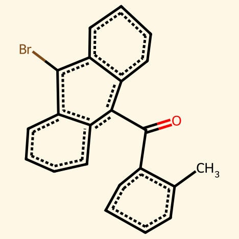 Cc1ccccc1C(=O)c1c2ccccc2c(Br)c2ccccc12